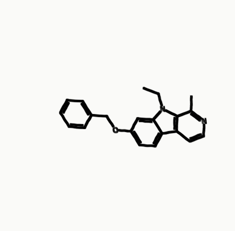 CCn1c2cc(OCc3ccccc3)ccc2c2ccnc(C)c21